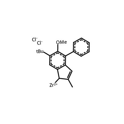 COc1c(C(C)(C)C)cc2c(c1-c1ccccc1)C=C(C)[CH]2[Zr+2].[Cl-].[Cl-]